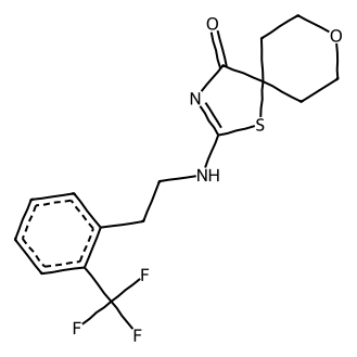 O=C1N=C(NCCc2ccccc2C(F)(F)F)SC12CCOCC2